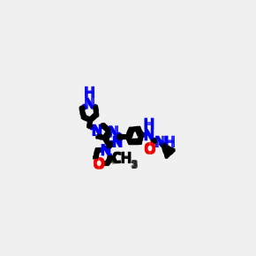 C[C@H]1COCCN1c1nc(-c2ccc(NC(=O)NC3CC3)cc2)nc2c1CN(CC1CCNCC1)C2